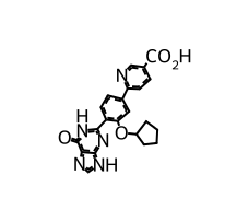 O=C(O)c1ccc(-c2ccc(-c3nc4[nH]cnc4c(=O)[nH]3)c(OC3CCCC3)c2)nc1